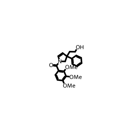 COc1ccc(C(=O)N2C=CC(CCO)(c3ccccc3)C2)c(OC)c1OC